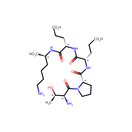 C[C@@H](O)[C@H](N)C(=O)N1CCC[C@H]1C(=O)N[C@@H](CCC(=O)O)C(=O)N[C@@H](CCC(=O)O)C(=O)N[C@@H](CCCCN)C(=O)O